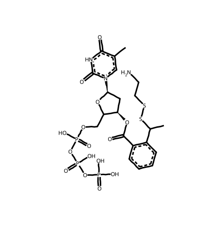 Cc1cn([C@H]2C[C@@H](OC(=O)c3ccccc3C(C)SSCCN)C(COP(=O)(O)OP(=O)(O)OP(=O)(O)O)O2)c(=O)[nH]c1=O